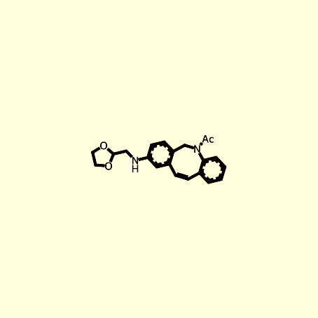 CC(=O)N1Cc2ccc(NCC3OCCO3)cc2C=Cc2ccccc21